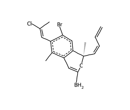 BC1=Cc2c(cc(Br)c(/C=C(\C)Cl)c2C)[C@@](C)(/C=C\C=C)C1